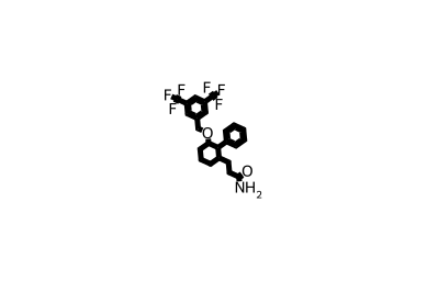 NC(=O)CCC1CCCC(OCc2cc(C(F)(F)F)cc(C(F)(F)F)c2)C1c1ccccc1